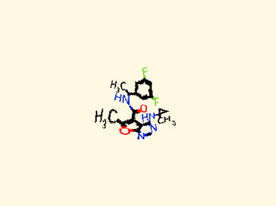 Cc1oc2ncnc(NC3(C)CC3)c2c1C(=O)NC(C)c1cc(F)cc(F)c1